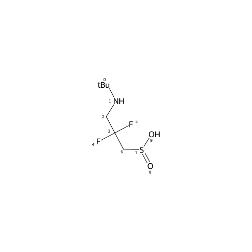 CC(C)(C)NCC(F)(F)CS(=O)O